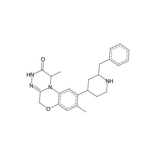 Cc1cc2c(cc1C1CCNC(Cc3ccccc3)C1)N1C(=NNC(=O)C1C)CO2